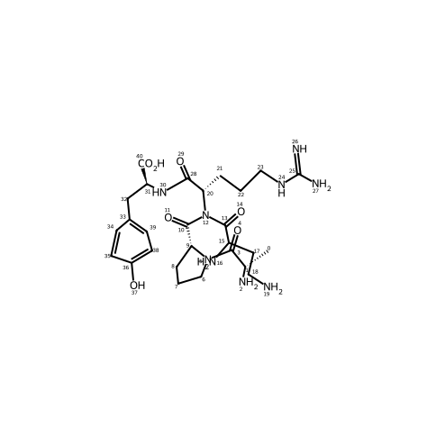 C[C@H](N)C(=O)N1CCC[C@@H]1C(=O)N(C(=O)C(N)CCN)[C@@H](CCCNC(=N)N)C(=O)N[C@@H](Cc1ccc(O)cc1)C(=O)O